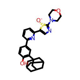 [O-][s+]1c(-c2cccc(-c3ccc(O)c(C45CC6CC(CC(C6)C4)C5)c3)n2)cnc1N1CCOCC1